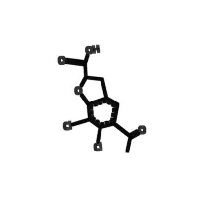 CC(=O)c1cc2c(c(Cl)c1Cl)OC(C(=O)O)C2